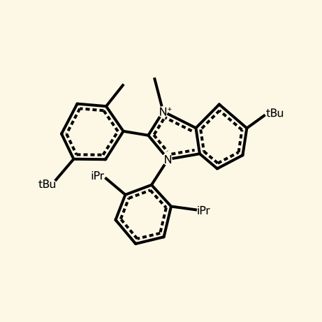 Cc1ccc(C(C)(C)C)cc1-c1n(-c2c(C(C)C)cccc2C(C)C)c2ccc(C(C)(C)C)cc2[n+]1C